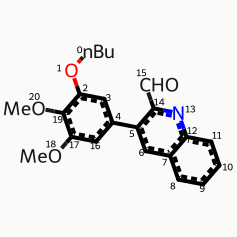 CCCCOc1cc(-c2cc3ccccc3nc2C=O)cc(OC)c1OC